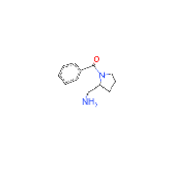 NCC1CCCN1C(=O)c1ccccc1